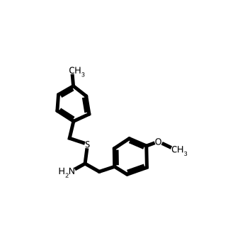 COc1ccc(CC(N)SCc2ccc(C)cc2)cc1